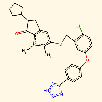 Cc1c(OCc2cc(Oc3ccc(-c4nn[nH]n4)cc3)ccc2Cl)cc2c(c1C)C(=O)C(C1CCCC1)C2